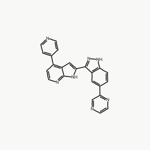 c1cc(-c2ccnc3[nH]c(-c4n[nH]c5ccc(-c6cnccn6)cc45)cc23)ccn1